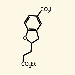 CCOC(=O)CCC1Cc2cc(C(=O)O)ccc2O1